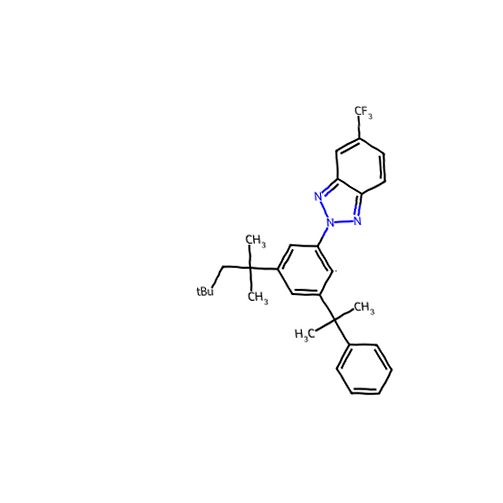 CC(C)(C)CC(C)(C)c1cc(-n2nc3ccc(C(F)(F)F)cc3n2)[c]c(C(C)(C)c2ccccc2)c1